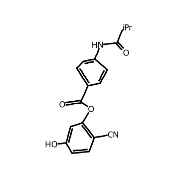 CC(C)C(=O)Nc1ccc(C(=O)Oc2cc(O)ccc2C#N)cc1